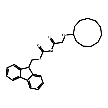 O=C(CNC1CCCCCCCCCC1)NC(=O)OCC1c2ccccc2-c2ccccc21